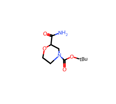 CC(C)(C)OC(=O)N1CCOC(C(N)=O)C1